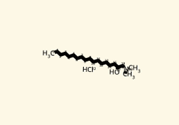 CCCCCCCCCCCCCCCCC(O)CN(C)C.Cl